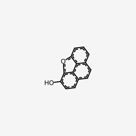 Oc1ccc2ccc3cccc4oc1c2c34